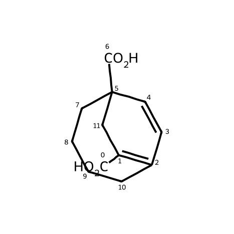 O=C(O)C1=C2C=CC(C(=O)O)(CCCC2)C1